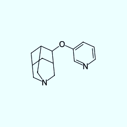 c1cncc(OC2C3CC4CC2CN(C4)C3)c1